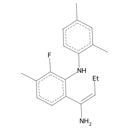 CC/C=C(/N)c1ccc(C)c(F)c1Nc1ccc(C)cc1C